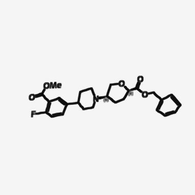 COC(=O)c1cc(C2CCN([C@@H]3CC[C@H](C(=O)OCc4ccccc4)OC3)CC2)ccc1F